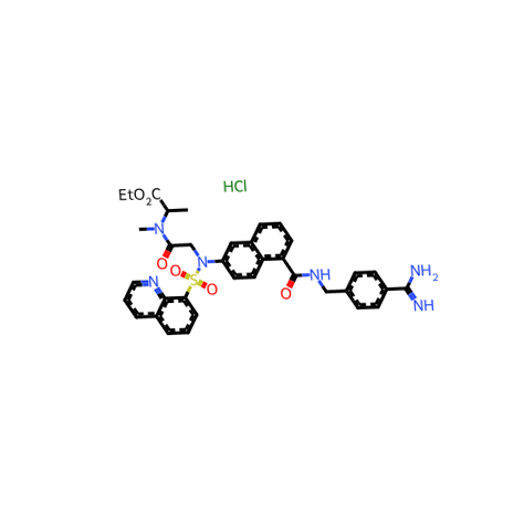 CCOC(=O)C(C)N(C)C(=O)CN(c1ccc2c(C(=O)NCc3ccc(C(=N)N)cc3)cccc2c1)S(=O)(=O)c1cccc2cccnc12.Cl